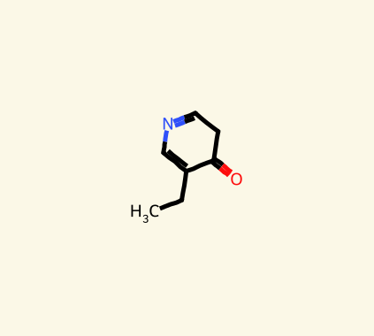 CCC1=CN=CCC1=O